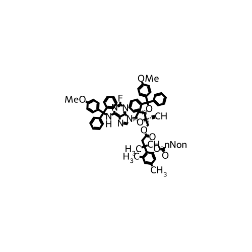 C#C[C@]1(COC(=O)CC(C)(C)c2c(C)cc(C)cc2OC(=O)CCCCCCCCC)O[C@@H](n2cnc3c(NC(c4ccccc4)(c4ccccc4)c4ccc(OC)cc4)nc(F)nc32)C[C@@H]1OC(c1ccccc1)(c1ccccc1)c1ccc(OC)cc1